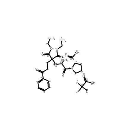 CCOC(=O)C(CCC(=O)c1ccccc1)(N[C@@H](C)C(=O)N1CCC[C@H]1C(=O)O)C(=O)OCC.O=C(O)C(F)(F)F